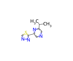 CC(C)c1cncc(-c2nncs2)n1